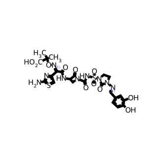 CC(C)(O/N=C(/C(=O)NC1CN(C(=O)NS(=O)(=O)N2CCN(/N=C/c3ccc(O)c(O)c3)C2=O)C1=O)c1csc(N)n1)C(=O)O